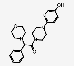 O=C(C(c1ccccc1)N1CCOCC1)N1CCN(c2ccc(O)cn2)CC1